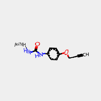 C#CCOc1ccc(NC(=O)NNC(C)=O)cc1